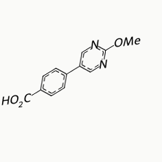 COc1ncc(-c2ccc(C(=O)O)cc2)cn1